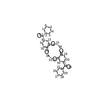 O=C(c1ccccc1)c1ccc2c(c1)OCCOc1ccc(C(=O)c3ccccc3)cc1OCCO2